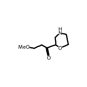 COCCC(=O)C1CNCCO1